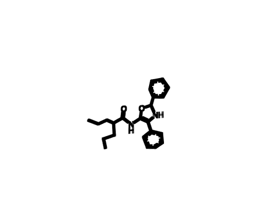 CCCC(CCC)C(=O)NC1=C(c2ccccc2)NC(c2ccccc2)O1